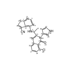 CC(Nc1ncnc2scc(C#N)c12)c1nc2cccc(Cl)c2c(=O)n1-c1cc[nH]n1